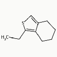 CCc1scc2c1CCCC2